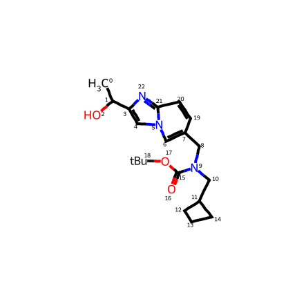 CC(O)c1cn2cc(CN(CC3CCC3)C(=O)OC(C)(C)C)ccc2n1